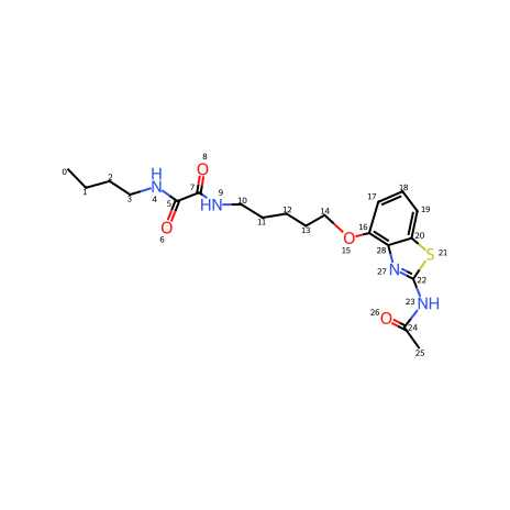 CCCCNC(=O)C(=O)NCCCCCOc1cccc2sc(NC(C)=O)nc12